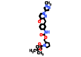 Cn1cc(-n2ccc(=O)c(Cc3cccc(NC(=O)OC[C@H]4CCCN4C(=O)OC(C)(C)C)c3)n2)cn1